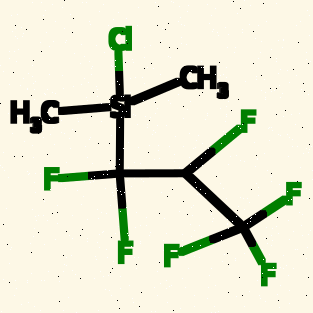 C[Si](C)(Cl)C(F)(F)C(F)C(F)(F)F